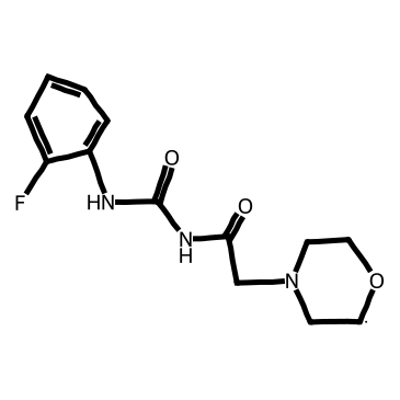 O=C(CN1C[CH]OCC1)NC(=O)Nc1ccccc1F